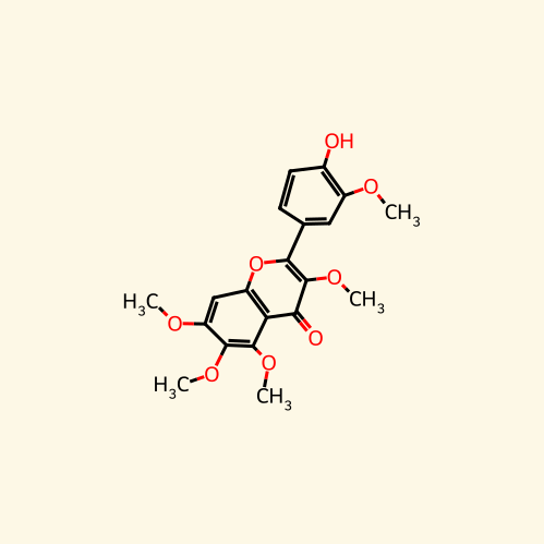 COc1cc(-c2oc3cc(OC)c(OC)c(OC)c3c(=O)c2OC)ccc1O